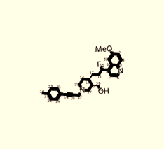 COc1ccc2nccc(C(F)CC[C@@H]3CCN(CC#Cc4ccc(C)cc4)C[C@@H]3CO)c2c1